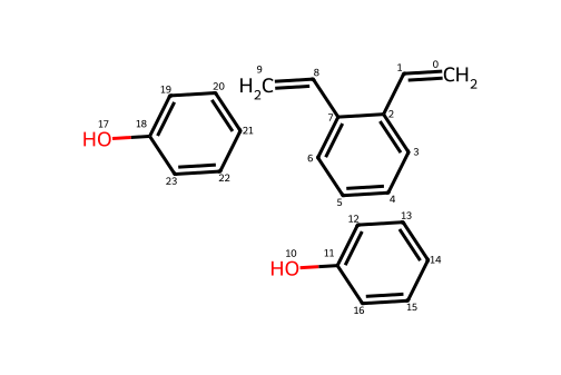 C=Cc1ccccc1C=C.Oc1ccccc1.Oc1ccccc1